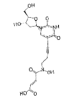 O=C(O)/C=C/C(=O)N(O)CCC#Cc1cn([C@H]2C[C@H](O)[C@@H](CO)O2)c(=O)[nH]c1=O